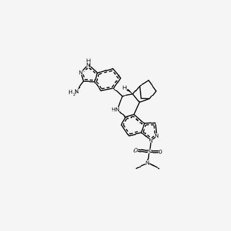 CN(C)S(=O)(=O)n1ncc2c3c(ccc21)NC(c1ccc2[nH]nc(N)c2c1)[C@@H]1C2CCC(C2)C31